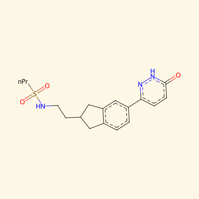 CCCS(=O)(=O)NCCC1Cc2ccc(-c3ccc(=O)[nH]n3)cc2C1